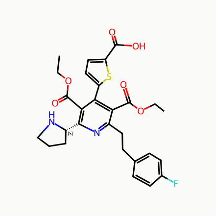 CCOC(=O)c1c(CCc2ccc(F)cc2)nc([C@@H]2CCCN2)c(C(=O)OCC)c1-c1ccc(C(=O)O)s1